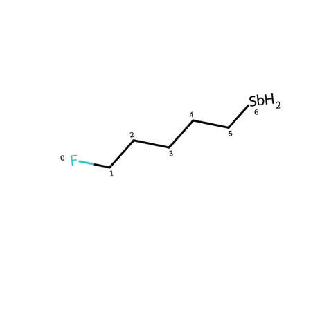 FCCCC[CH2][SbH2]